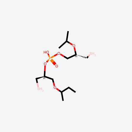 BC[C@H](COP(=O)(O)O[C@H](CB)COC(C)CC)OC(C)C